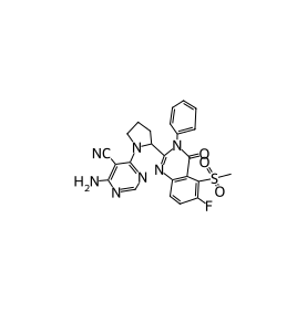 CS(=O)(=O)c1c(F)ccc2nc(C3CCCN3c3ncnc(N)c3C#N)n(-c3ccccc3)c(=O)c12